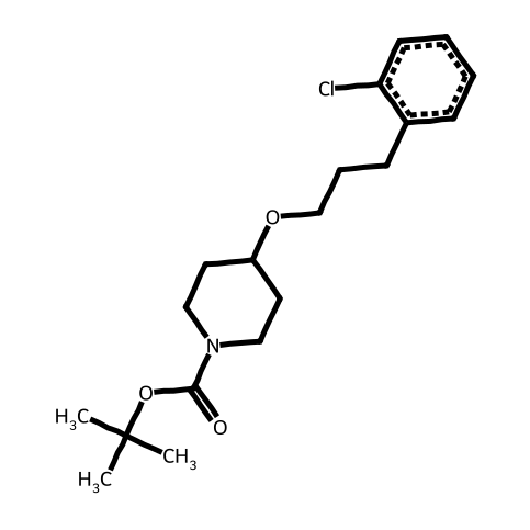 CC(C)(C)OC(=O)N1CCC(OCCCc2ccccc2Cl)CC1